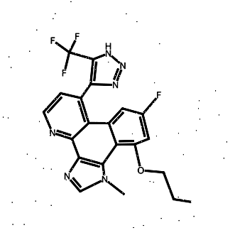 CCCOc1cc(F)cc2c3c(-c4nn[nH]c4C(F)(F)F)ccnc3c3ncn(C)c3c12